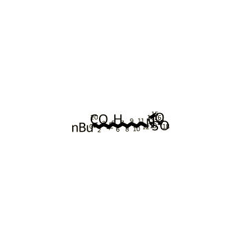 CCCCC(CCCCCCCCCCCN1CCOC(=O)S1)C(=O)O